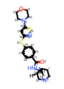 O=C(N[C@H]1CN2CCC1CC2)c1ccc(Sc2cc(N3CCOCC3)sn2)cc1